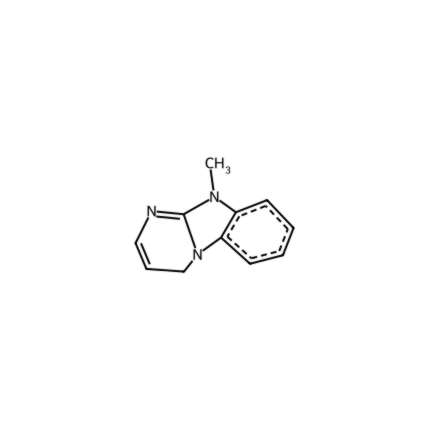 CN1C2=NC=CCN2c2ccccc21